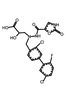 O=C(NN(Cc1ccc(-c2cc(Cl)ccc2F)cc1Cl)CC(O)C(=O)O)c1c[nH]c(=O)o1